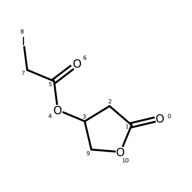 O=C1CC(OC(=O)CI)CO1